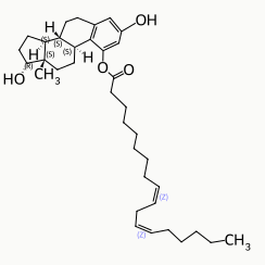 CCCCC/C=C\C/C=C\CCCCCCCC(=O)Oc1cc(O)cc2c1[C@H]1CC[C@]3(C)[C@H](O)CC[C@H]3[C@@H]1CC2